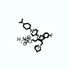 CC(C)[C@H]1CC[C@@H](N2CCC(n3c(CCOS(N)(=O)=O)c(CN4CCCC4)c4cc(F)ccc43)CC2)CC1